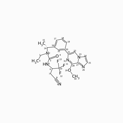 CCN(C(=O)NC(CC#N)C(F)(F)F)[C@H](C)c1cccc(-c2cn3ccnc3c(OC)n2)c1